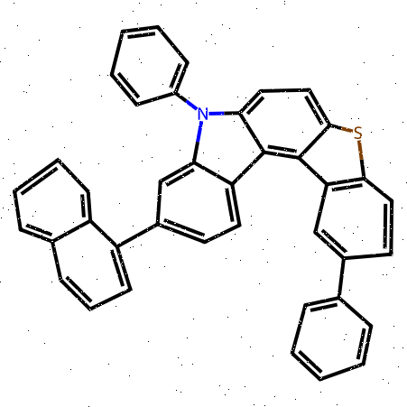 c1ccc(-c2ccc3sc4ccc5c(c6ccc(-c7cccc8ccccc78)cc6n5-c5ccccc5)c4c3c2)cc1